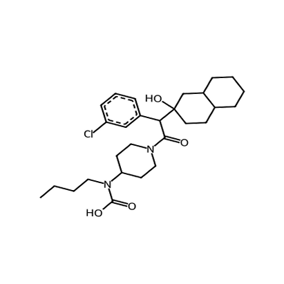 CCCCN(C(=O)O)C1CCN(C(=O)C(c2cccc(Cl)c2)C2(O)CCC3CCCCC3C2)CC1